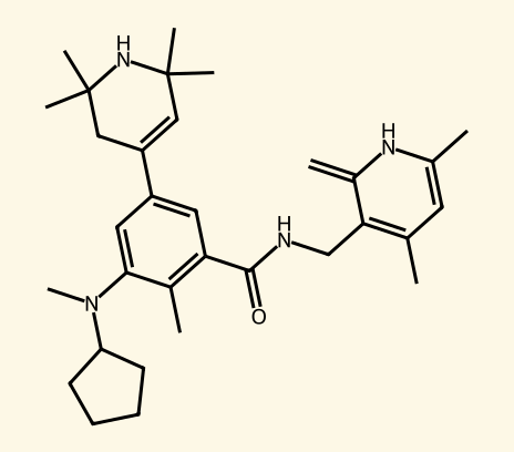 C=C1NC(C)=CC(C)=C1CNC(=O)c1cc(C2=CC(C)(C)NC(C)(C)C2)cc(N(C)C2CCCC2)c1C